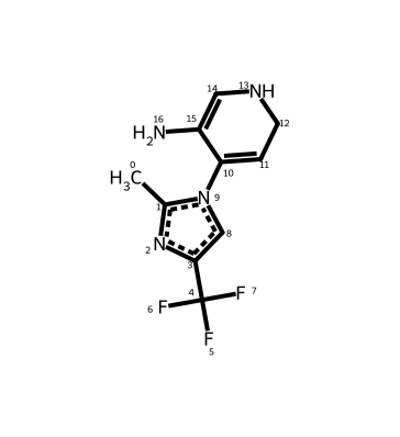 Cc1nc(C(F)(F)F)cn1C1=CCNC=C1N